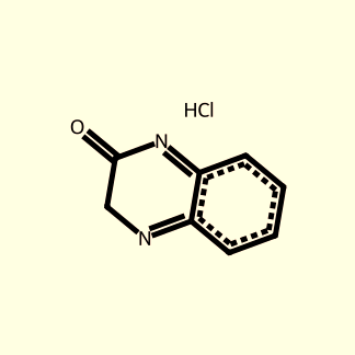 Cl.O=C1CN=c2ccccc2=N1